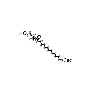 CCCCCCCCCCCCCCCCCCCCCCCC(=O)NCCS(=O)(=O)O